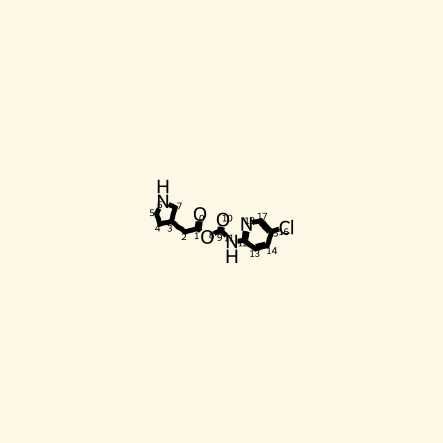 O=C(CC1CCNC1)OC(=O)Nc1ccc(Cl)cn1